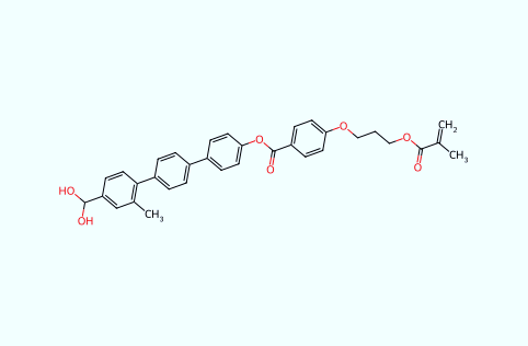 C=C(C)C(=O)OCCCOc1ccc(C(=O)Oc2ccc(-c3ccc(-c4ccc(C(O)O)cc4C)cc3)cc2)cc1